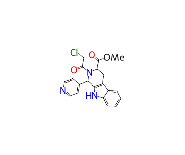 COC(=O)C1Cc2c([nH]c3ccccc23)C(c2ccncc2)N1C(=O)CCl